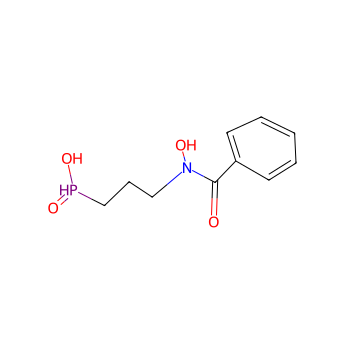 O=C(c1ccccc1)N(O)CCC[PH](=O)O